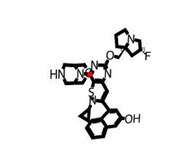 Oc1cc(C2=Cc3nc(OC[C@@]45CCCN4C[C@H](F)C5)nc(N4C5CNCC4COC5)c3SN2C2CC2)c2ccccc2c1